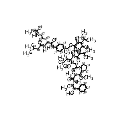 CC[C@H](C)[C@@H]([C@@H](CC(=O)N1CCC[C@H]1[C@@H](OC)[C@@H](C)C(=O)N[C@@H](C)[C@H](O)c1ccccc1)OC)N(C)C(=O)[C@@H](NC(=O)[C@H](C(C)C)N(C)C(=O)OCc1ccc(NC(=O)[C@@H](CCCNC(N)=O)NC(=O)CC(C)C)cc1)C(C)C